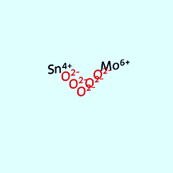 [Mo+6].[O-2].[O-2].[O-2].[O-2].[O-2].[Sn+4]